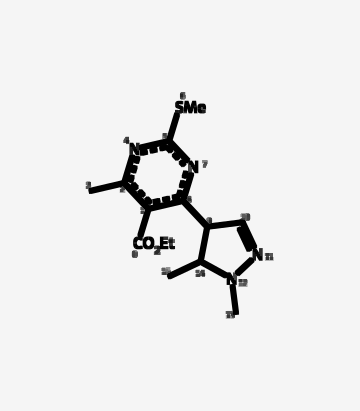 CCOC(=O)c1c(C)nc(SC)nc1C1C=NN(C)C1C